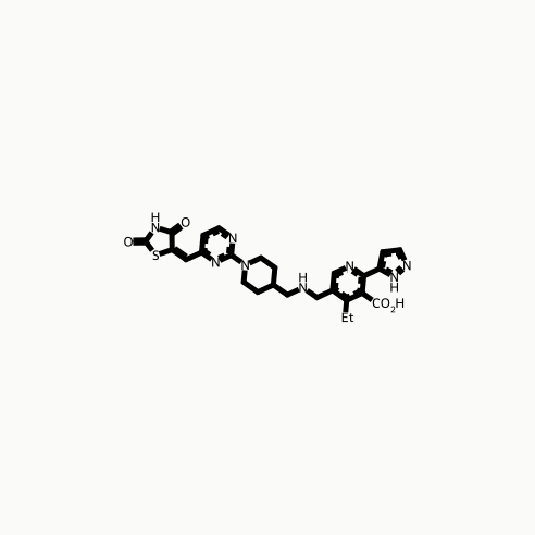 CCc1c(CNCC2CCN(c3nccc(C=C4SC(=O)NC4=O)n3)CC2)cnc(-c2ccn[nH]2)c1C(=O)O